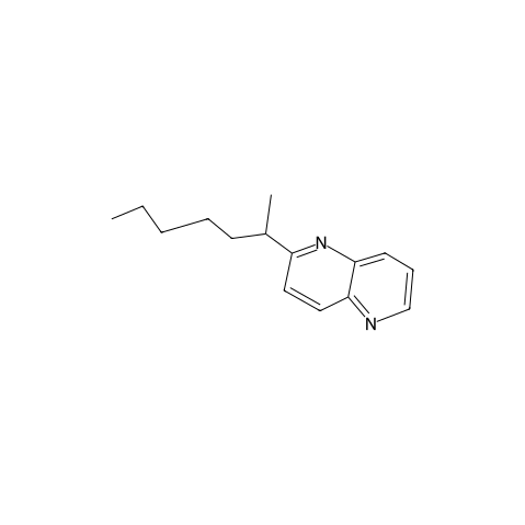 CCCCCC(C)c1ccc2ncccc2n1